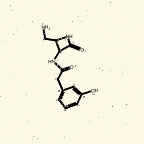 NCC1NC(=O)C1NC(=O)Cc1cccc(O)c1